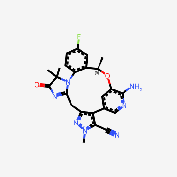 C[C@H]1Oc2cc(cnc2N)-c2c(nn(C)c2C#N)CC2=NC(=O)C(C)(C)N2c2ccc(F)cc21